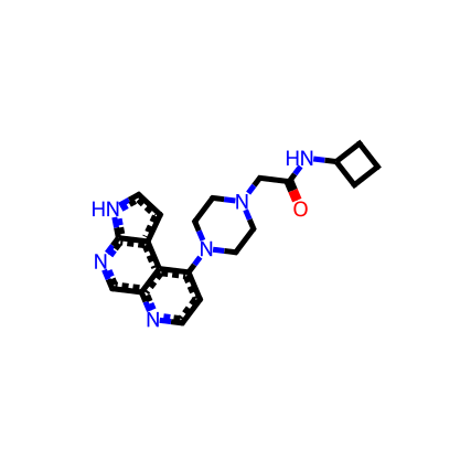 O=C(CN1CCN(c2ccnc3cnc4[nH]ccc4c23)CC1)NC1CCC1